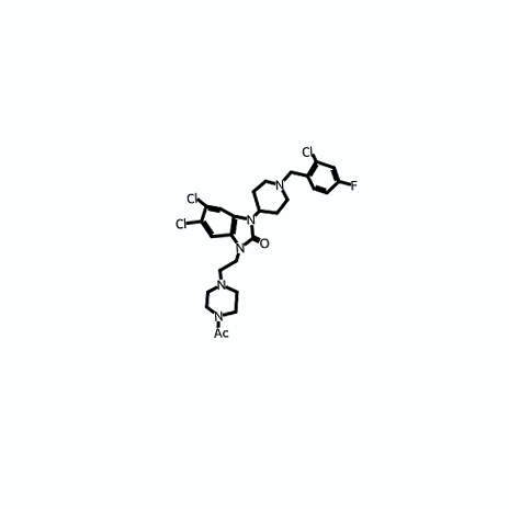 CC(=O)N1CCN(CCn2c(=O)n(C3CCN(Cc4ccc(F)cc4Cl)CC3)c3cc(Cl)c(Cl)cc32)CC1